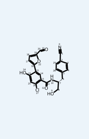 N#Cc1ccc(C[C@H](CO)NC(=O)c2cc(-c3ccc(C=O)o3)c(O)cc2Cl)cc1